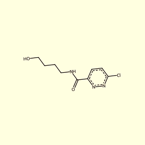 O=C(NCCCCO)c1ccc(Cl)nn1